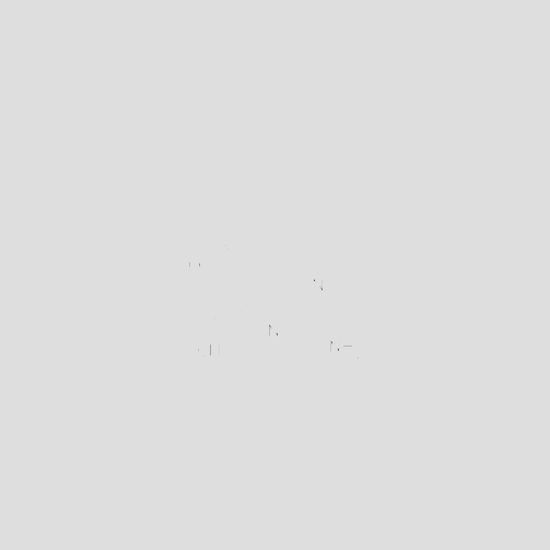 CSc1nc(N)nc2c1C(=O)CCCC2